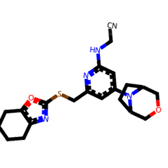 N#CCNc1cc(N2C3CCC2COC3)cc(CSc2nc3c(o2)CCCC3)n1